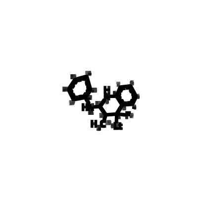 CCC1(F)c2ccccc2NC(Nc2ccccc2)C1C